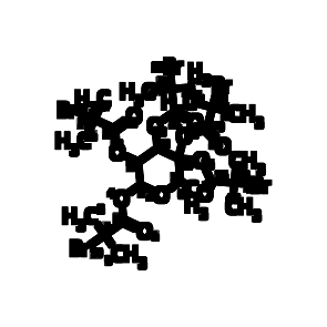 CC1OC(OC(=O)C(C)(C)Br)C(OC(=O)C(C)(C)Br)C(OC(=O)C(C)(C)Br)C1(OC(=O)C(C)(C)Br)OC(=O)C(C)(C)Br